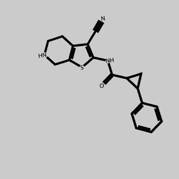 N#Cc1c(NC(=O)C2CC2c2ccccc2)sc2c1CCNC2